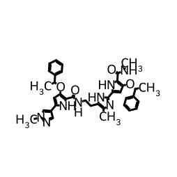 CNC(=O)c1[nH]c(-c2nc(C)c(CCNC(=O)c3[nH]c(-c4cnn(C)c4)cc3OC(C)c3ccccc3)[nH]2)cc1OC(C)c1ccccc1